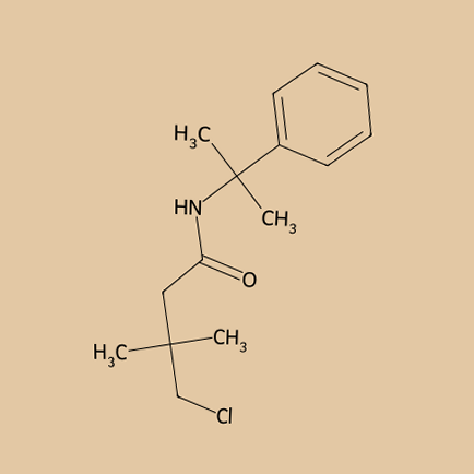 CC(C)(CCl)CC(=O)NC(C)(C)c1ccccc1